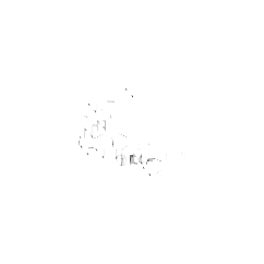 CCCc1ccnc(NC(=O)c2ccc(-c3nc([C@@H]4CCCCN4C(=O)C=CCN(C)C)n4ccnc(N)c34)cc2OC)c1